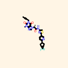 CC#CCn1c(=O)c2c(ncn2[C@@H](C)C(=O)Nc2csc(-c3ccc(C4CC5C(C4)C5(F)F)nc3)n2)n(C)c1=O